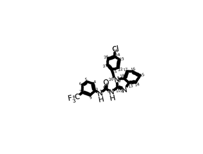 O=C(Nc1cccc(C(F)(F)F)c1)Nc1nc2ccccc2n1Cc1ccc(Cl)cc1